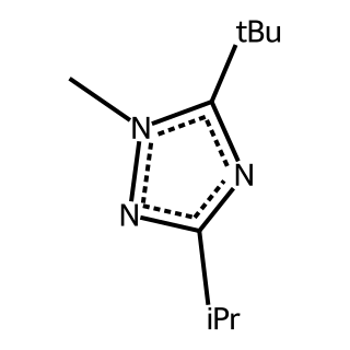 CC(C)c1nc(C(C)(C)C)n(C)n1